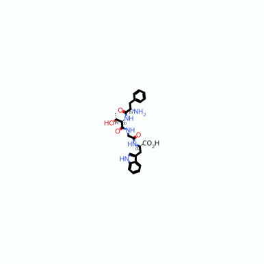 C[C@@H](O)[C@H](NC(=O)[C@@H](N)Cc1ccccc1)C(=O)NCC(=O)N[C@@H](Cc1c[nH]c2ccccc12)C(=O)O